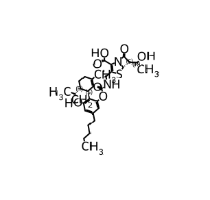 C=C(C)[C@@H]1CCC(C)=C[C@H]1c1c(O)cc(CCCCC)cc1OC(=O)NCC1=C(C(=O)O)N2C(=O)[C@H]([C@@H](C)O)C2S1